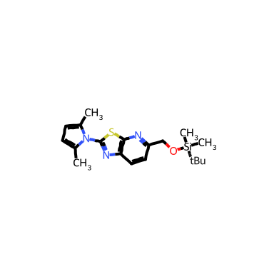 Cc1ccc(C)n1-c1nc2ccc(CO[Si](C)(C)C(C)(C)C)nc2s1